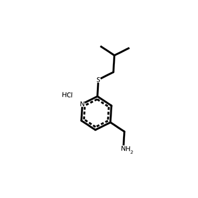 CC(C)CSc1cc(CN)ccn1.Cl